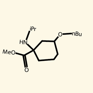 CCCCOC1CCCC(NC(C)C)(C(=O)OC)C1